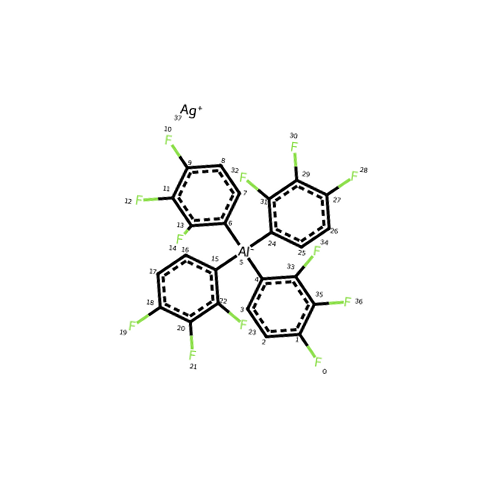 Fc1cc[c]([Al-]([c]2ccc(F)c(F)c2F)([c]2ccc(F)c(F)c2F)[c]2ccc(F)c(F)c2F)c(F)c1F.[Ag+]